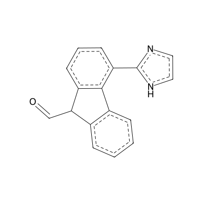 O=CC1c2ccccc2-c2c(-c3ncc[nH]3)cccc21